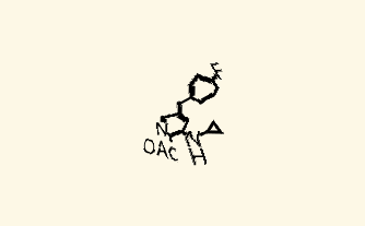 CC(=O)Oc1ncc(Cc2ccc(F)cc2)cc1NC1CC1